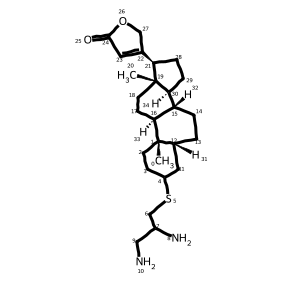 C[C@]12CCC(SCC(N)CN)C[C@H]1CC[C@@H]1[C@@H]2CC[C@]2(C)[C@@H](C3=CC(=O)OC3)CC[C@@H]12